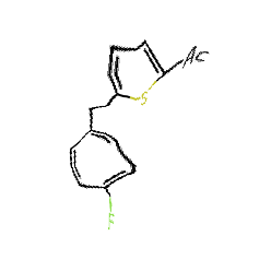 CC(=O)c1ccc(Cc2ccc(F)cc2)s1